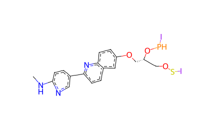 CNc1ccc(-c2ccc3cc(OC[C@@H](COSI)OPI)ccc3n2)cn1